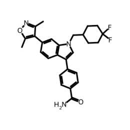 Cc1noc(C)c1-c1ccc2c(-c3ccc(C(N)=O)cc3)cn(CC3CCC(F)(F)CC3)c2c1